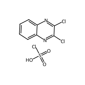 Clc1nc2ccccc2nc1Cl.O=S(=O)(O)Cl